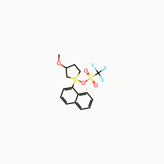 COC1CCS(OS(=O)(=O)C(F)(F)F)(c2cccc3ccccc23)C1